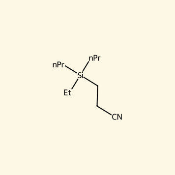 CCC[Si](CC)(CCC)CCC#N